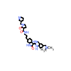 CN(C)Cc1ccc2c(c1)CNC(=C1C(=O)Nc3cc(C=CCNC(=O)c4cccn(Cc5cccnc5)c4=O)ccc31)N2